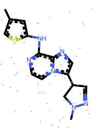 Cc1csc(Nc2nccn3c(C4C=NN(C)C4)cnc23)c1